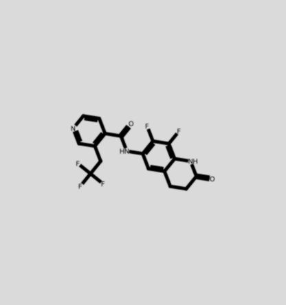 O=C1CCc2cc(NC(=O)c3ccncc3CC(F)(F)F)c(F)c(F)c2N1